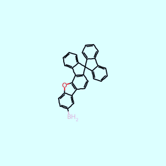 Bc1ccc2oc3c4c(ccc3c2c1)C1(c2ccccc2-c2ccccc21)c1ccccc1-4